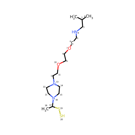 CC(C)CNCCOCCOCCN1CCN(C(C)SS)CC1